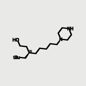 CC(C)(C)C[C@@H](CCO)CCCCCN1CCNCC1